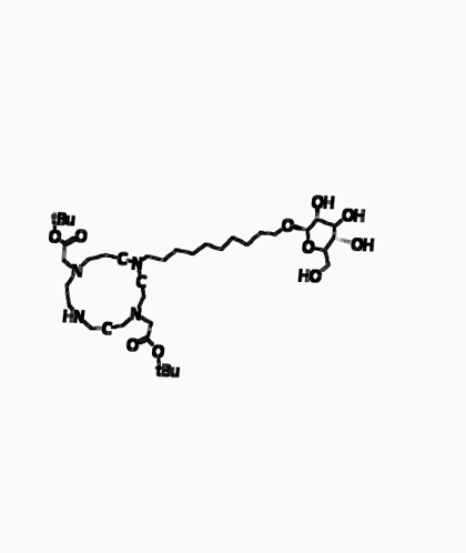 CC(C)(C)OC(=O)CN1CCCN(CCCCCCCCCCO[C@@H]2OC(CO)[C@@H](O)C(O)[C@@H]2O)CCN(CC(=O)OC(C)(C)C)CCCNCC1